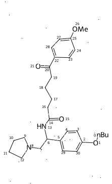 CCCCOc1ccc(C(CN2CCCC2)NC(=O)CCCCC(=O)c2ccc(OC)cc2)cc1